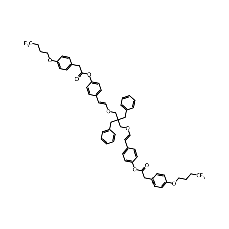 O=C(Cc1ccc(OCCCC(F)(F)F)cc1)Oc1ccc(/C=C/OCC(CO/C=C/c2ccc(OC(=O)Cc3ccc(OCCCC(F)(F)F)cc3)cc2)(Cc2ccccc2)Cc2ccccc2)cc1